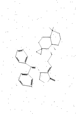 CC1(C)CCC[C@@]2(C)[C@H]1CCC1(CC1)[C@@H]2CC/C=C1/C(=O)OC[C@H]1N=C(c1ccccc1)c1ccccc1